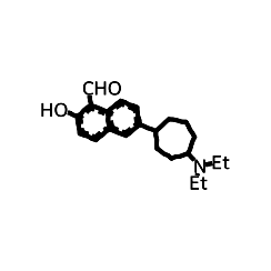 CCN(CC)C1CCCC(c2ccc3c(C=O)c(O)ccc3c2)CC1